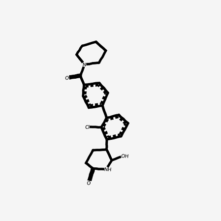 O=C1CCC(c2cccc(-c3ccc(C(=O)N4CCCCC4)cc3)c2Cl)C(O)N1